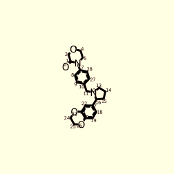 O=C1COCCN1c1ccc(CN2CCCC2c2ccc3c(c2)OCCO3)cc1